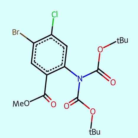 COC(=O)c1cc(Br)c(Cl)cc1N(C(=O)OC(C)(C)C)C(=O)OC(C)(C)C